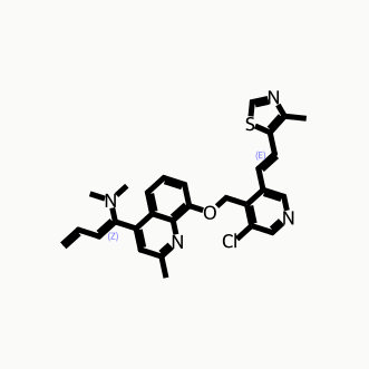 C=C/C=C(/c1cc(C)nc2c(OCc3c(Cl)cncc3/C=C/c3scnc3C)cccc12)N(C)C